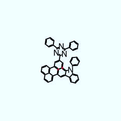 c1ccc(-c2nc(-c3ccccc3)nc(-c3cccc(-c4cccc5cccc(-c6ccc7c(c6)c6ccccc6n7-c6ccccc6)c45)c3)n2)cc1